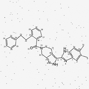 Cc1cc2nc(-c3[nH]nc4c3CCN(C(=O)c3ccccc3CCc3ccccc3)C4)[nH]c2cc1C